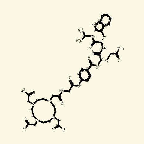 CC(C)NC(=O)[C@H](Cc1c[nH]c2ccccc12)NC(=O)[C@H](CCC(N)=O)NC(=O)c1ccc(NC(=O)CNC(=O)CN2CCN(CC(=O)O)CCN(CC(=O)O)CCN(CC(=O)O)CC2)cc1